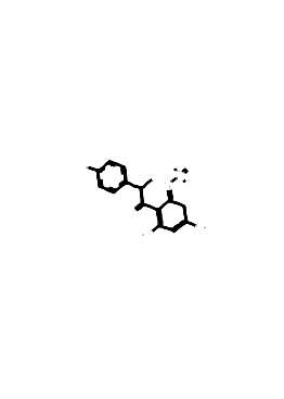 CC(C(=O)C1=C(O)C=C(O)CC1=NP(=O)(O)O)c1ccc(O)cc1